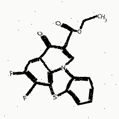 CCOC(=O)c1cn2c3c(c(F)c(F)cc3c1=O)Sc1ccccc1-2